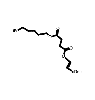 CCCCCCCCCCC=COC(=O)CCC(=O)OCCCCCC(C)C